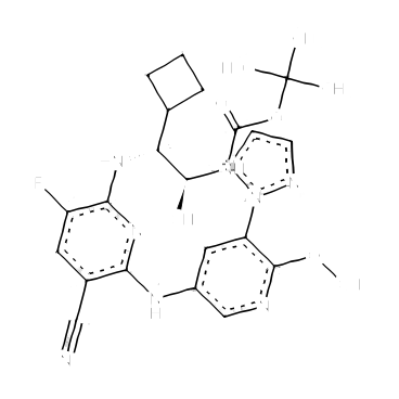 COc1ncc(Nc2nc(N[C@H](C3CCC3)[C@H](C)NC(=O)OC(C)(C)C)c(F)cc2C#N)cc1-n1nccn1